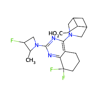 CC1C(F)CN1c1nc(N2CC3CC(C2)C3CC(=O)O)c2c(n1)C(F)(F)CCC2